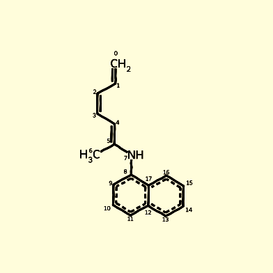 C=C/C=C\C=C(/C)Nc1cccc2ccccc12